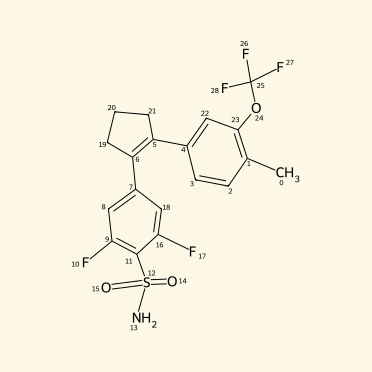 Cc1ccc(C2=C(c3cc(F)c(S(N)(=O)=O)c(F)c3)CCC2)cc1OC(F)(F)F